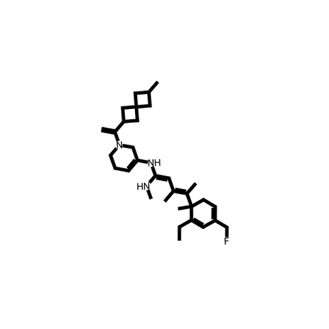 C=C(C1CC2(CC(C)C2)C1)N1CCC=C(N/C(=C/C(C)=C(\C)C2(C)CC=C(CF)C=C2CC)NC)C1